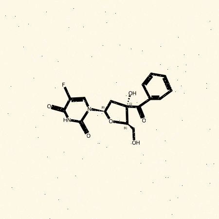 O=C(c1ccccc1)[C@]1(O)C[C@H](n2cc(F)c(=O)[nH]c2=O)O[C@@H]1CO